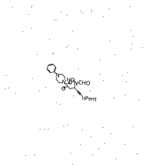 CCCCCC#CC(CS(=O)(=O)N1CCN(c2ccccc2)CC1)N(O)C=O